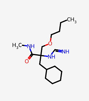 CCCCOCC(CC1CCCCC1)(NC=N)C(=O)NC